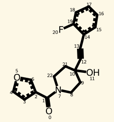 O=C(c1ccoc1)N1CCC(O)(C#Cc2ccccc2F)CC1